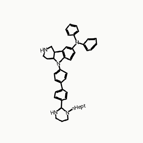 CCCCCCCN1CCCNC1c1ccc(-c2ccc(N3c4ccc(N(c5ccccc5)c5ccccc5)cc4C4CNCCC43)cc2)cc1